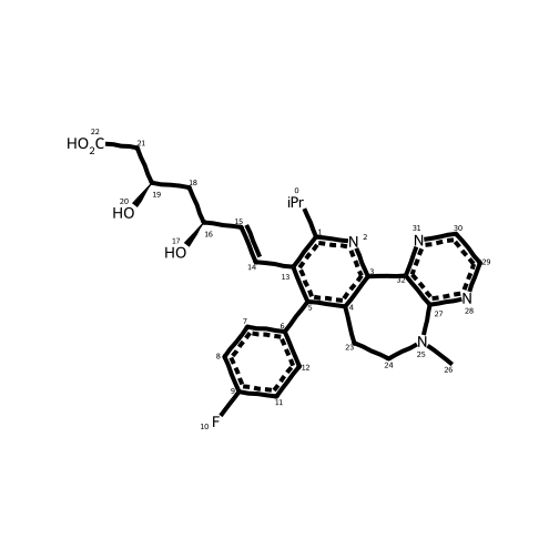 CC(C)c1nc2c(c(-c3ccc(F)cc3)c1/C=C/[C@@H](O)C[C@@H](O)CC(=O)O)CCN(C)c1nccnc1-2